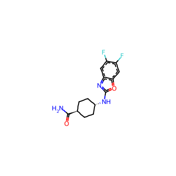 NC(=O)[C@H]1CC[C@H](Nc2nc3cc(F)c(F)cc3o2)CC1